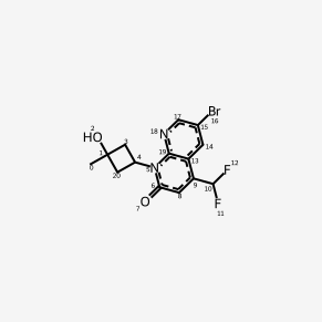 CC1(O)CC(n2c(=O)cc(C(F)F)c3cc(Br)cnc32)C1